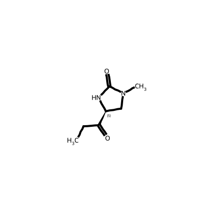 CCC(=O)[C@@H]1CN(C)C(=O)N1